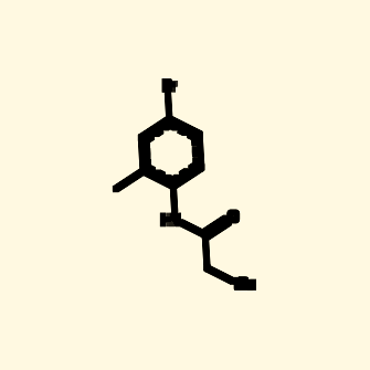 Cc1cc(Br)ccc1NC(=O)CC(C)(C)C